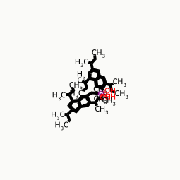 CCC(C)c1cc(C(C)CC)c2cc(CC(C)(C)P(O)(O)(O)c3cc4c(C(C)CC)cc(C(C)CC)cc4cc3C(C)CC)c(C(C)CC)cc2c1